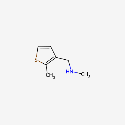 CNCc1ccsc1C